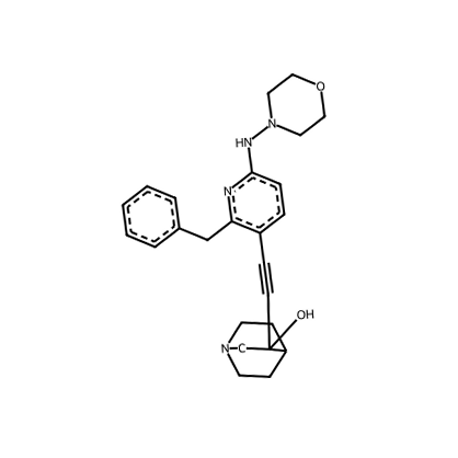 OC1(C#Cc2ccc(NN3CCOCC3)nc2Cc2ccccc2)CN2CCC1CC2